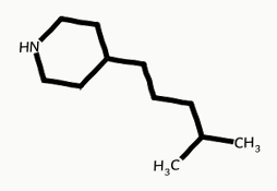 CC(C)CCCC1[CH]CNCC1